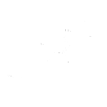 COC(=O)CCC1CNc2cc(NC(=O)OC(C)(C)C(F)(F)F)cc(F)c2O1